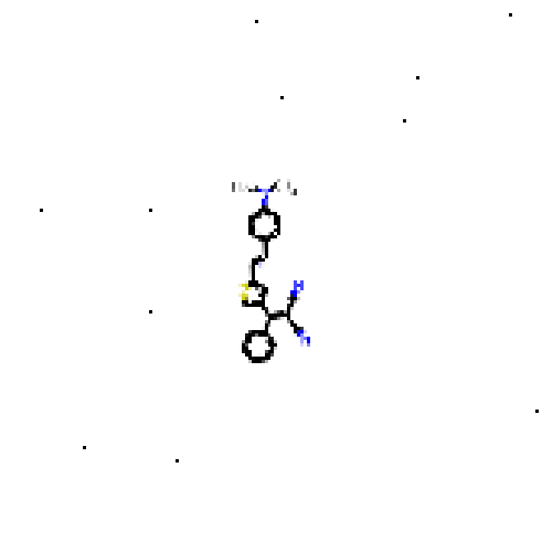 CN(C)c1ccc(/C=C/c2cc(C(=C(C#N)C#N)c3ccccc3)cs2)cc1